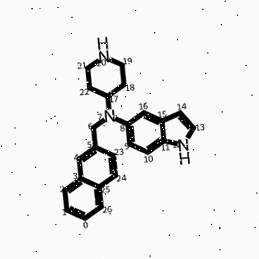 c1ccc2cc(CN(c3ccc4[nH]ccc4c3)C3CCNCC3)ccc2c1